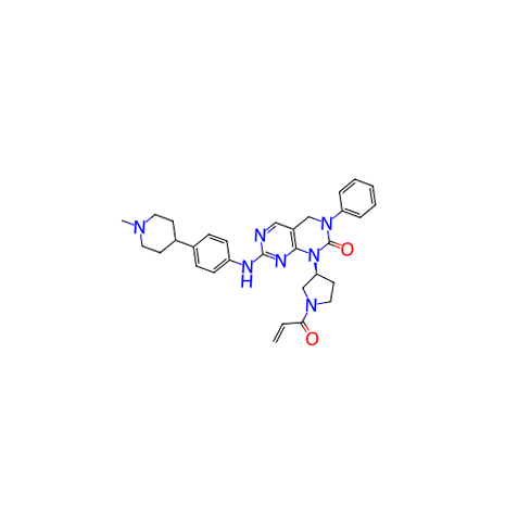 C=CC(=O)N1CC[C@H](N2C(=O)N(c3ccccc3)Cc3cnc(Nc4ccc(C5CCN(C)CC5)cc4)nc32)C1